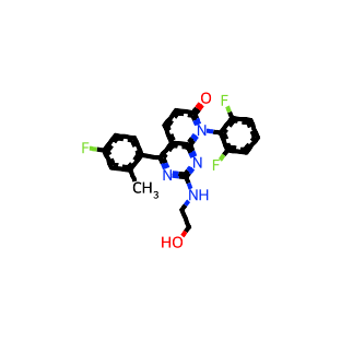 Cc1cc(F)ccc1-c1nc(NCCO)nc2c1ccc(=O)n2-c1c(F)cccc1F